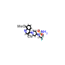 COc1cccc2c(N3CCC(N(CC(F)F)S(N)(=O)=O)CC3)c(C#N)cnc12